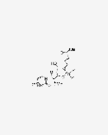 COC1C(OP(OCCSC(=O)C(C)(C)C)N(C(C)C)C(C)C)[C@@H](CO)O[C@H]1n1ccc(=O)[nH]c1=O